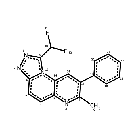 Cc1nc2ccc3nnc(C(F)F)n3c2cc1-c1ccccc1